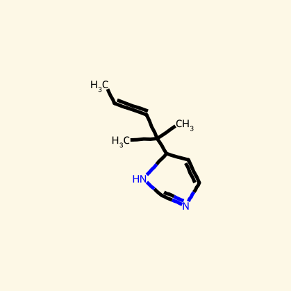 CC=CC(C)(C)C1C=CN=CN1